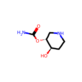 NC(=O)O[C@@H]1CNCC[C@H]1O